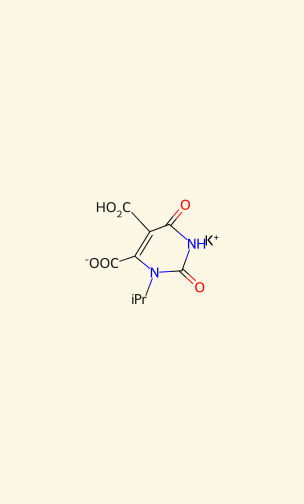 CC(C)n1c(C(=O)[O-])c(C(=O)O)c(=O)[nH]c1=O.[K+]